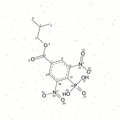 CC(C)COC(=O)c1cc([N+](=O)[O-])c(P(=O)(O)O)c([N+](=O)[O-])c1